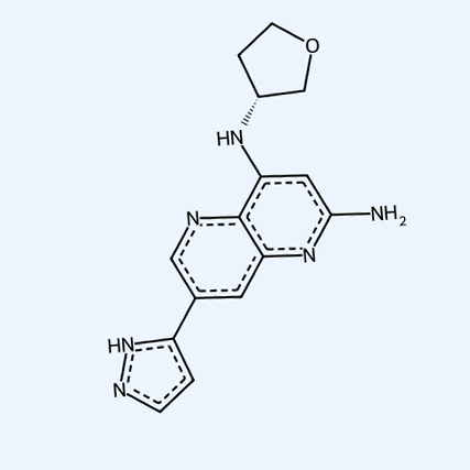 Nc1cc(N[C@@H]2CCOC2)c2ncc(-c3ccn[nH]3)cc2n1